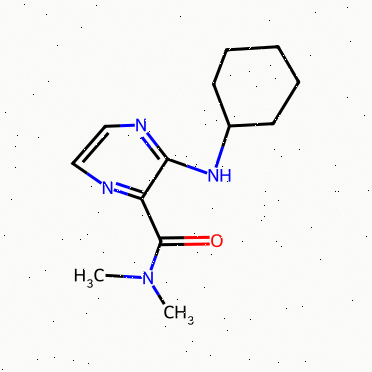 CN(C)C(=O)c1nccnc1NC1CCCCC1